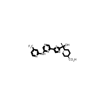 C[C@](O)(c1ncc(-c2cncc(Nc3cc(C(F)(F)F)ccn3)n2)s1)[C@H]1CC[C@H](C(=O)O)CC1